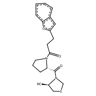 N#C[C@@H]1CSCN1C(=O)[C@@H]1CCCN1C(=O)CCc1cc2ccccc2o1